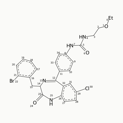 CCOCCNC(=O)Nc1ccc(C2=NC(Cc3ccccc3Br)C(=O)Nc3ccc(Cl)cc32)cc1